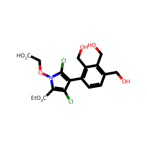 CCOC(=O)c1c(Cl)c(-c2ccc(CO)c(CO)c2CO)c(Cl)n1OCC(=O)O